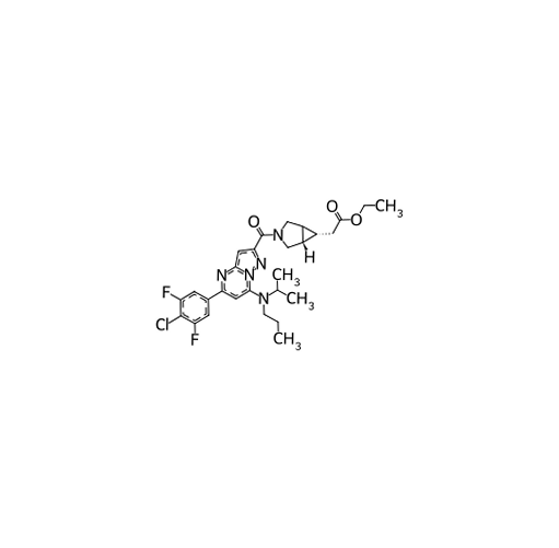 CCCN(c1cc(-c2cc(F)c(Cl)c(F)c2)nc2cc(C(=O)N3CC4[C@@H](C3)[C@H]4CC(=O)OCC)nn12)C(C)C